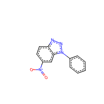 O=[N+]([O-])c1ccc2nnn(-c3ccccc3)c2c1